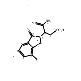 Cc1cccc2c1CN(C(CC(=O)O)C(N)=O)C2=O